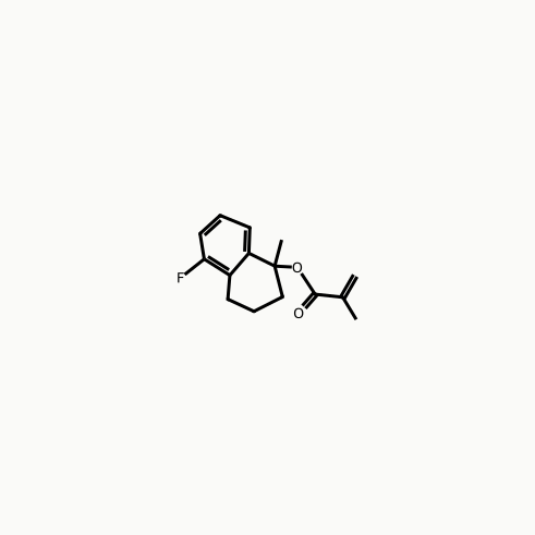 C=C(C)C(=O)OC1(C)CCCc2c(F)cccc21